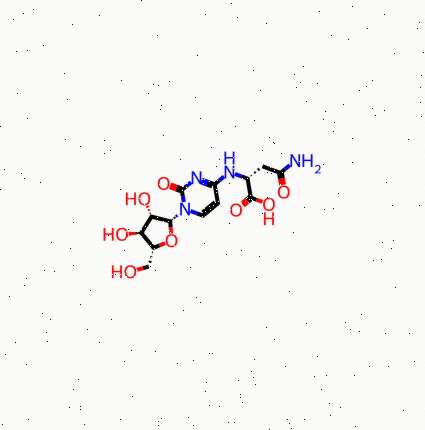 NC(=O)C[C@@H](Nc1ccn([C@@H]2O[C@H](CO)[C@@H](O)[C@@H]2O)c(=O)n1)C(=O)O